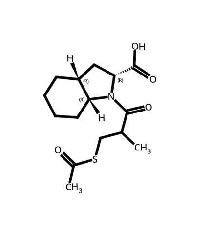 CC(=O)SCC(C)C(=O)N1[C@@H](C(=O)O)C[C@H]2CCCC[C@H]21